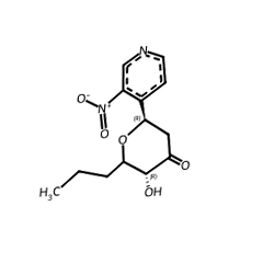 CCCC1O[C@@H](c2ccncc2[N+](=O)[O-])CC(=O)[C@@H]1O